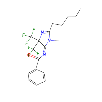 CCCCCC1=NC(C(F)(F)F)(C(F)(F)F)C(=NC(=O)c2ccccc2)N1C